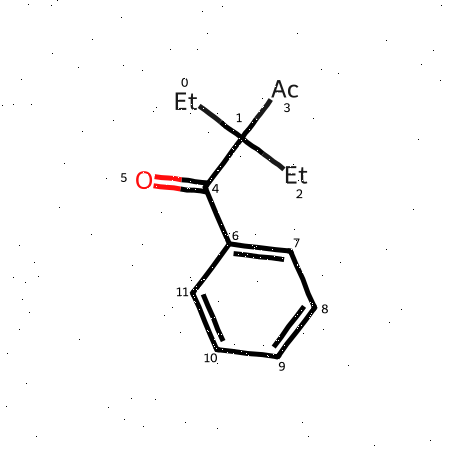 CCC(CC)(C(C)=O)C(=O)c1ccccc1